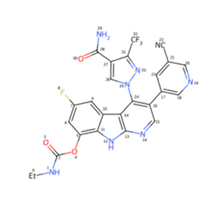 CCNC(=O)Oc1cc(F)cc2c1[nH]c1ncc(-c3cncc(C#N)c3)c(-n3cc(C(N)=O)c(C(F)(F)F)n3)c12